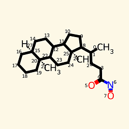 CC(CCC(=O)N=O)C1CCC2C3CC[C@@H]4CCCC[C@]4(C)C3CC[C@]12C